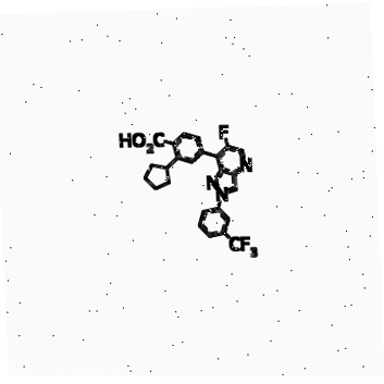 O=C(O)c1ccc(-c2c(F)cnc3cn(-c4cccc(C(F)(F)F)c4)nc23)cc1C1CCCC1